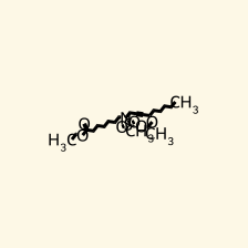 CCCCCC(C#CCN(CCCCCCC(=O)OCC)S(C)(=O)=O)OC(C)=O